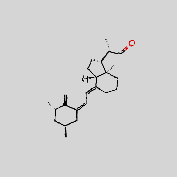 C=C1/C(=C\C=C2/CCC[C@]3(C)[C@@H]([C@H](C)C=O)CC[C@@H]23)C[C@@H](C)C[C@@H]1C